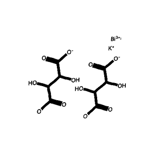 O=C([O-])C(O)C(O)C(=O)[O-].O=C([O-])C(O)C(O)C(=O)[O-].[Bi+3].[K+]